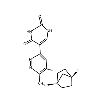 Cc1nnc(-c2c[nH]c(=O)[nH]c2=O)cc1[C@@H]1C[C@@H]2CC[C@H]1C2